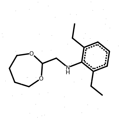 CCc1cccc(CC)c1NCC1OCCCCO1